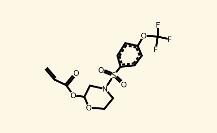 C=CC(=O)OC1CN(S(=O)(=O)c2ccc(OC(F)(F)F)cc2)CCO1